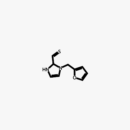 S=CC1NC=CN1Cc1ccco1